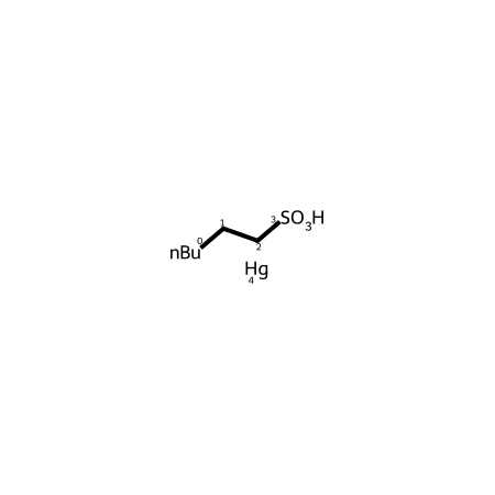 CCCCCCS(=O)(=O)O.[Hg]